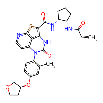 C=CC(=O)N[C@H]1CCC[C@H]1NC(=O)c1sc2nccc3c2c1NC(=O)N3c1ccc(O[C@H]2CCOC2)cc1C